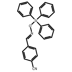 N#Cc1ccc(C=NO[Si](c2ccccc2)(c2ccccc2)c2ccccc2)cc1